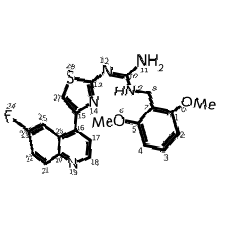 COc1cccc(OC)c1CNC(N)=Nc1nc(-c2ccnc3ccc(F)cc23)cs1